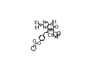 CCN(CC)c1ncc(N(CC)C(=O)NC2CC3CC34CCC24)c(N[C@@H](Cc2ccc(OC(=O)N3CCCC3)cc2)C(=O)O)n1